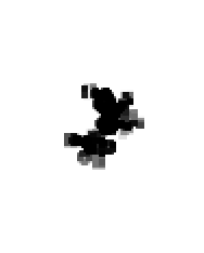 CC(C#N)(c1ccc(Cl)cc1)c1ccc(-n2nc(C#N)c(=O)[nH]c2=O)cc1C(F)(F)F